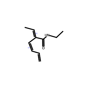 C=C/C=C\C(=C/C)C(=O)NCC